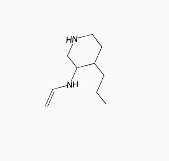 C=CNC1CNCCC1CCC